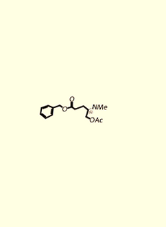 CN[C@@H](CCC(=O)OCc1ccccc1)COC(C)=O